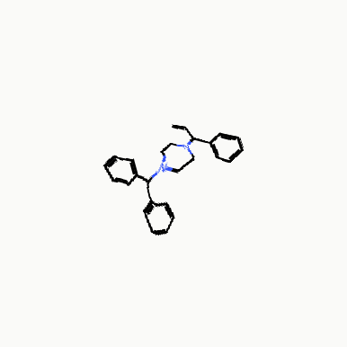 C=CC(c1ccccc1)N1CCN(C(c2ccccc2)c2ccccc2)CC1